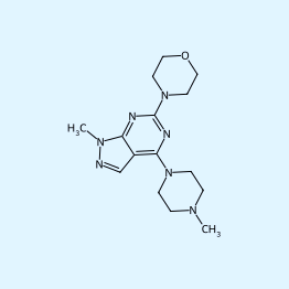 CN1CCN(c2nc(N3CCOCC3)nc3c2cnn3C)CC1